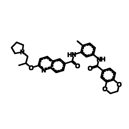 Cc1ccc(NC(=O)c2ccc3c(c2)OCCO3)cc1NC(=O)c1ccc2nc(OC(C)CN3CCCC3)ccc2c1